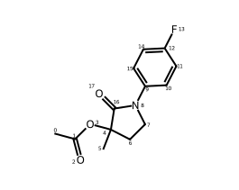 CC(=O)OC1(C)CCN(c2ccc(F)cc2)C1=O